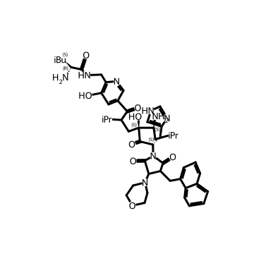 CC[C@H](C)[C@@H](N)C(=O)NCc1ncc(C(=O)C(C[C@@](O)(C(=O)[C@H](Cc2c[nH]cn2)N2C(=O)C(Cc3cccc4ccccc34)C(N3CCOCC3)C2=O)[C@@H](N)CC(C)C)C(C)C)cc1O